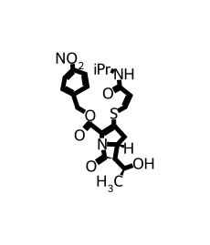 CC(C)NC(=O)/C=C\SC1=C(C(=O)OCc2ccc([N+](=O)[O-])cc2)N2C(=O)[C@@H]([C@H](C)O)[C@H]2C1